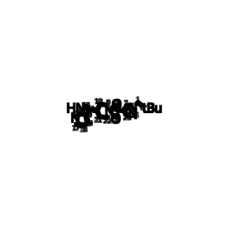 CC(C)(C)Cn1cc(S(=O)(=O)N2CCC(c3c[nH]c4ncccc34)CC2)cn1